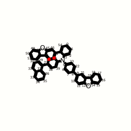 c1ccc(N(c2ccc(-c3ccc4oc5ccccc5c4c3)cc2)c2ccc(-c3cccc4ccccc34)cc2)c(-c2ccc3c(c2)oc2ccccc23)c1